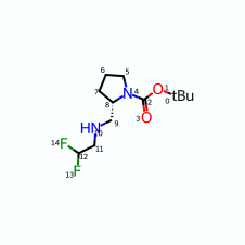 CC(C)(C)OC(=O)N1CCC[C@H]1CNCC(F)F